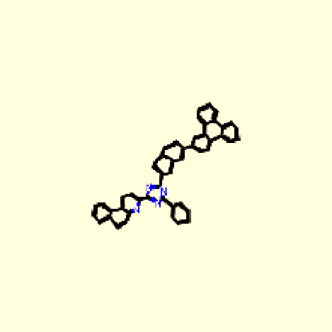 c1ccc(-c2nc(-c3ccc4ccc(-c5ccc6c7ccccc7c7ccccc7c6c5)cc4c3)nc(-c3ccc4c(ccc5ccccc54)n3)n2)cc1